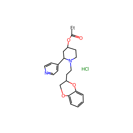 CCC(=O)OC1CCN(CCC2COc3ccccc3O2)C(c2ccncc2)C1.Cl